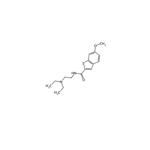 CCN(CC)CCNC(=O)c1cc2ccc(OC)cc2s1